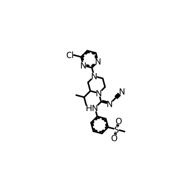 CC(C)C1CN(c2nccc(Cl)n2)CCN1/C(=N\C#N)Nc1cccc(S(C)(=O)=O)c1